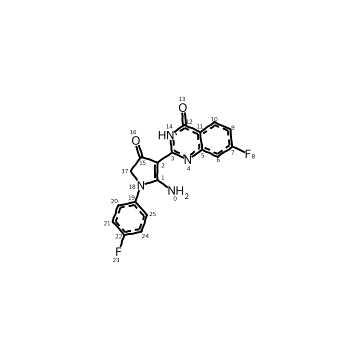 NC1=C(c2nc3cc(F)ccc3c(=O)[nH]2)C(=O)CN1c1ccc(F)cc1